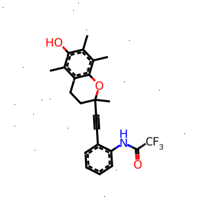 Cc1c(C)c2c(c(C)c1O)CCC(C)(C#Cc1ccccc1NC(=O)C(F)(F)F)O2